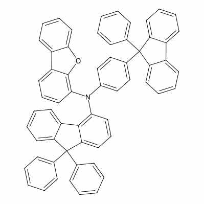 c1ccc(C2(c3ccc(N(c4cccc5c4-c4ccccc4C5(c4ccccc4)c4ccccc4)c4cccc5c4oc4ccccc45)cc3)c3ccccc3-c3ccccc32)cc1